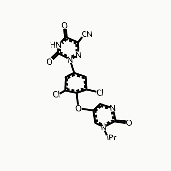 CC(C)n1cc(Oc2c(Cl)cc(-n3nc(C#N)c(=O)[nH]c3=O)cc2Cl)cnc1=O